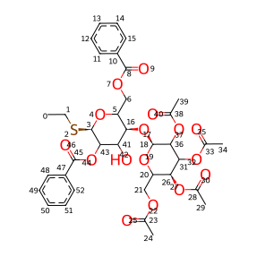 CCS[C@H]1OC(COC(=O)c2ccccc2)[C@@H](O[C@@H]2OC(COC(C)=O)[C@H](OC(C)=O)C(OC(C)=O)C2OC(C)=O)C(O)C1OC(=O)c1ccccc1